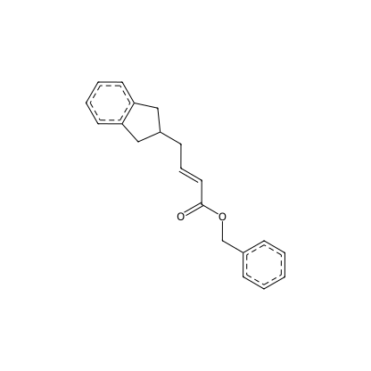 O=C(C=CCC1Cc2ccccc2C1)OCc1ccccc1